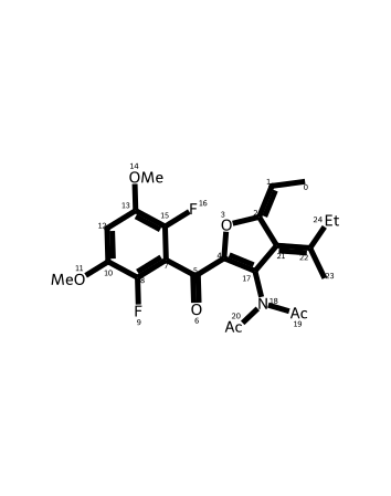 C/C=c1/oc(C(=O)c2c(F)c(OC)cc(OC)c2F)c(N(C(C)=O)C(C)=O)/c1=C(\C)CC